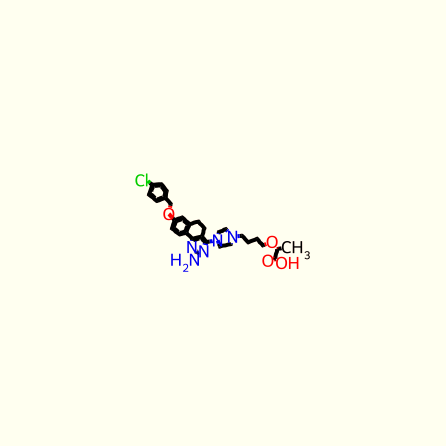 CC(OCCCCN1CCN(c2nc(N)nc3c2CCc2cc(OCc4ccc(Cl)cc4)ccc2-3)CC1)C(=O)O